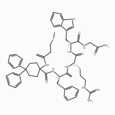 C=C(CCCC)NC1(C(=O)N[C@H](Cc2ccccc2)C(=C)N[C@@H](CCCNC(=N)N)C(=O)N[C@@H](Cc2c[nH]c3ccccc23)C(=O)NCC(N)=O)CCC(c2ccccc2)(c2ccccc2)CC1